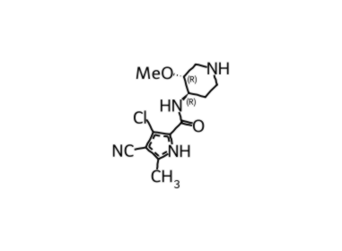 CO[C@@H]1CNCC[C@H]1NC(=O)c1[nH]c(C)c(C#N)c1Cl